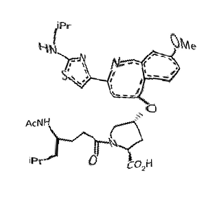 COc1ccc2c(O[C@@H]3C[C@@H](C(=O)O)N(C(=O)CC(CC(C)C)NC(C)=O)C3)cc(-c3csc(NC(C)C)n3)nc2c1